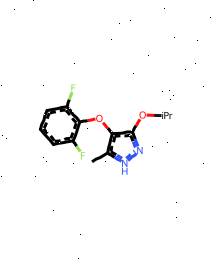 Cc1[nH]nc(OC(C)C)c1Oc1c(F)cccc1F